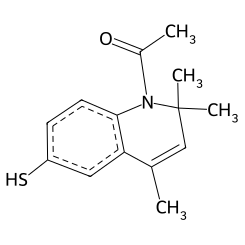 CC(=O)N1c2ccc(S)cc2C(C)=CC1(C)C